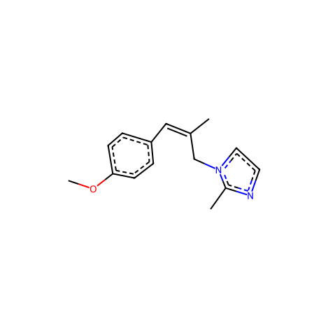 COc1ccc(C=C(C)Cn2ccnc2C)cc1